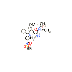 CCC(C)S(=O)(=O)NC(=O)c1ccc2c(C3CCCCC3)c3n(c2c1)CC(c1c(C(=O)N2C[C@@H](C)O[C@@H](C)C2)cnn1C)=Cc1cc(OC)ccc1-3